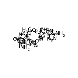 CC1OCC2[C@@H](O)[C@H](n3cnc4c(N)ncnc43)O[C@@H]2COP(=O)(O)O[C@H](O)[C@H](n2cnc3c(=O)[nH]c(N)nc32)O1